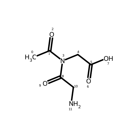 CC(=O)N(CC(=O)O)C(=O)CN